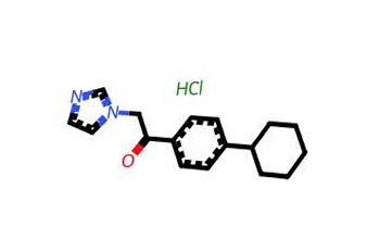 Cl.O=C(Cn1ccnc1)c1ccc(C2CCCCC2)cc1